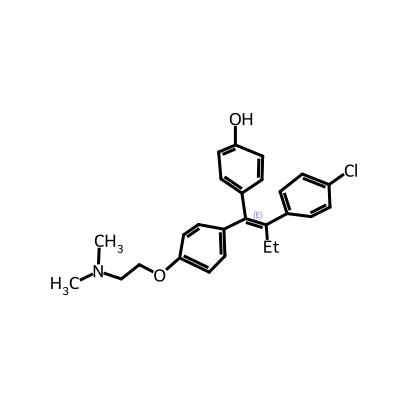 CC/C(=C(/c1ccc(O)cc1)c1ccc(OCCN(C)C)cc1)c1ccc(Cl)cc1